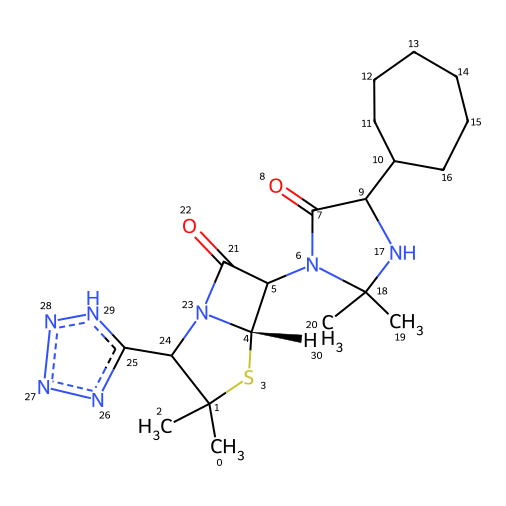 CC1(C)S[C@H]2C(N3C(=O)C(C4CCCCCC4)NC3(C)C)C(=O)N2C1c1nnn[nH]1